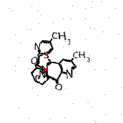 Cc1ccc(OC2CC3CCC2N(C(=O)c2ncc(C)cc2-c2nccs2)C3)nc1